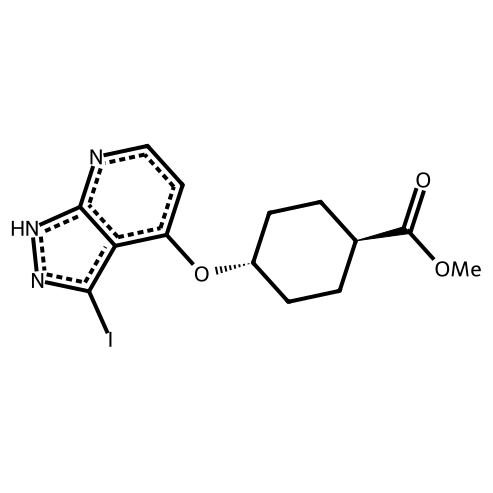 COC(=O)[C@H]1CC[C@H](Oc2ccnc3[nH]nc(I)c23)CC1